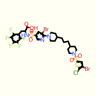 O=C(O)C(Cc1c(F)c(F)c(F)c(F)c1F)NS(=O)(=O)c1cnc(N2CCC(CCCC3CCN(S(=O)(=O)c4cc(Br)c(Cl)s4)CC3)CC2)c(Br)c1